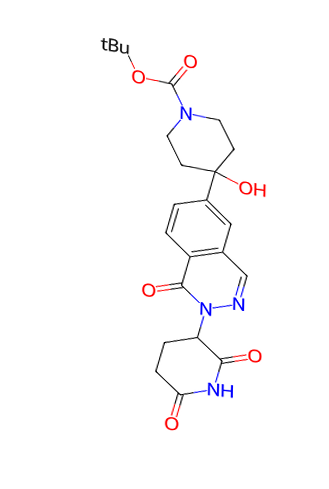 CC(C)(C)OC(=O)N1CCC(O)(c2ccc3c(=O)n(C4CCC(=O)NC4=O)ncc3c2)CC1